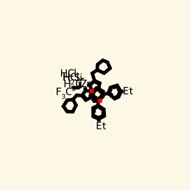 CCc1ccc(-c2cccc3c2C=C(CC2CCCCC2)[CH]3[Zr]([CH3])(=[SiH2])([CH2]CC(F)(F)F)[CH]2C(CC3CCCCC3)=Cc3c(-c4ccc(CC)cc4)cccc32)cc1.Cl.Cl